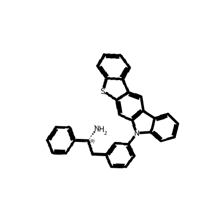 N[C@H](Cc1cccc(-n2c3ccccc3c3cc4c(cc32)sc2ccccc24)c1)c1ccccc1